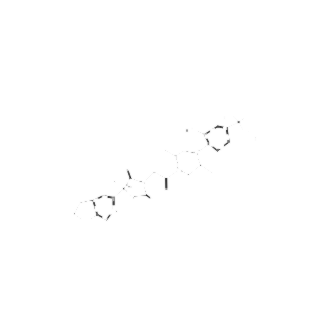 CCCc1cc(C(O)(C(F)(F)F)C(F)(F)F)ccc1N1CC(C)N(C(=O)CN2C(=O)N[C@](C)(c3cc4c(cn3)OCC4)C2=O)CC1C